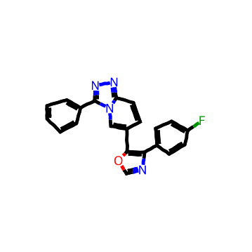 Fc1ccc(-c2ncoc2-c2ccc3nnc(-c4ccccc4)n3c2)cc1